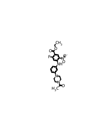 CCOC(=O)c1cc([N+](=O)[O-])c(Nc2cccc(N3CCN(C(C)=O)CC3)c2)cc1F